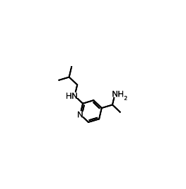 CC(C)CNc1cc(C(C)N)ccn1